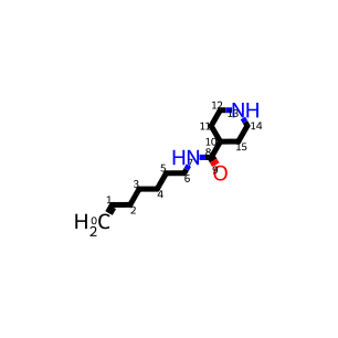 C=CCCCCCNC(=O)C1CCNCC1